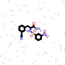 N#Cc1cccc(CC(NS(=O)(=O)c2cccc([N+](=O)[O-])c2)C(N)=O)c1